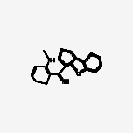 CNC1=C(C(=N)c2cccc3c2oc2ccccc23)CCC=C1